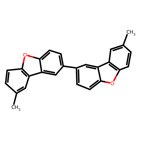 Cc1ccc2oc3ccc(-c4ccc5oc6ccc(C)cc6c5c4)cc3c2c1